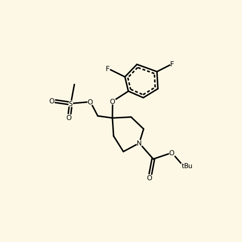 CC(C)(C)OC(=O)N1CCC(COS(C)(=O)=O)(Oc2ccc(F)cc2F)CC1